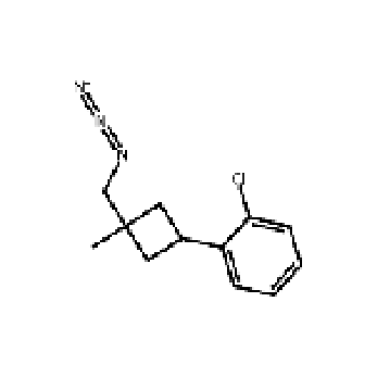 CC1(CN=[N+]=[N-])CC(c2ccccc2Cl)C1